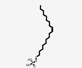 CCCCCCCC/C=C\CCCCCCCCSOP(=O)(O)O